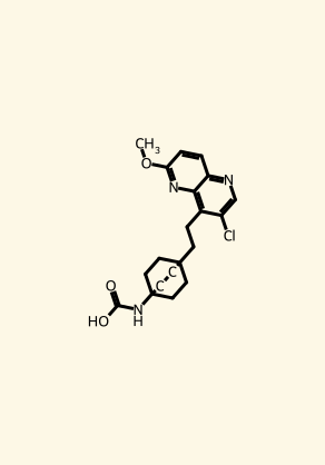 COc1ccc2ncc(Cl)c(CCC34CCC(NC(=O)O)(CC3)CC4)c2n1